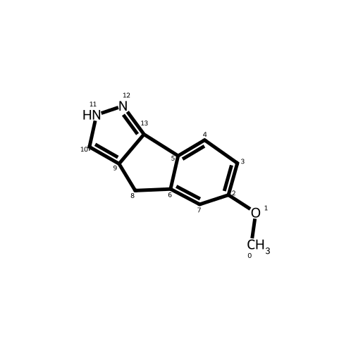 COc1ccc2c(c1)Cc1[c][nH]nc1-2